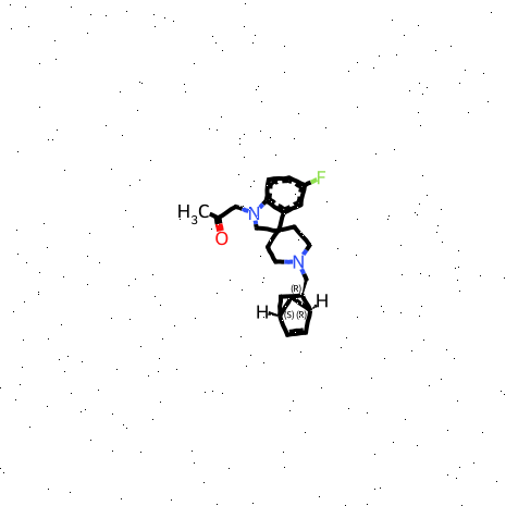 CC(=O)CN1CC2(CCN(C[C@@H]3C[C@H]4C=C[C@H]3C4)CC2)c2cc(F)ccc21